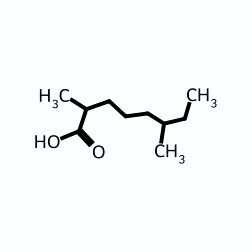 CCC(C)CCCC(C)C(=O)O